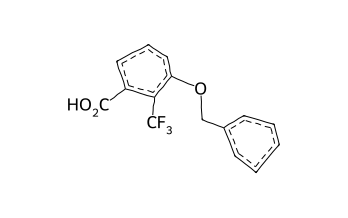 O=C(O)c1cccc(OCc2ccccc2)c1C(F)(F)F